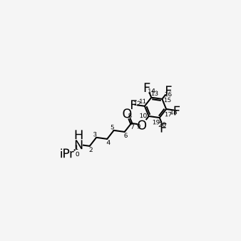 CC(C)NCCCCCC(=O)Oc1c(F)c(F)c(F)c(F)c1F